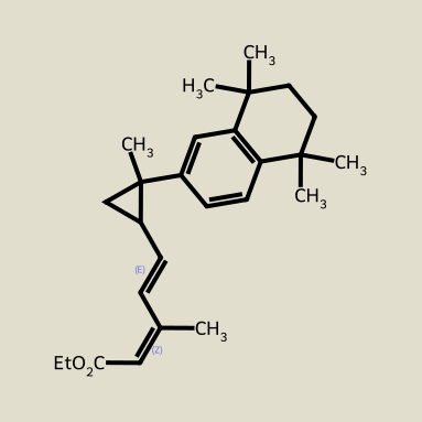 CCOC(=O)/C=C(C)\C=C\C1CC1(C)c1ccc2c(c1)C(C)(C)CCC2(C)C